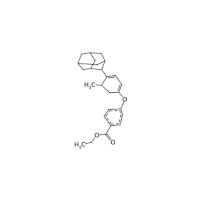 CCOC(=O)c1ccc(OC2=CC=C(C3C4CC5CC(C4)CC3C5)C(C)C2)cc1